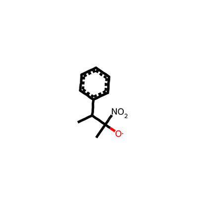 CC(c1ccccc1)C(C)([O])[N+](=O)[O-]